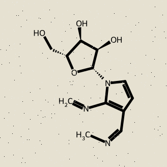 C=Nc1c(/C=N\C)ccn1[C@@H]1O[C@H](CO)[C@@H](O)[C@H]1O